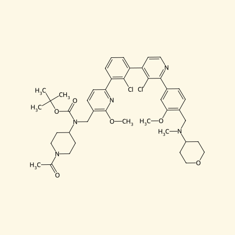 COc1cc(-c2nccc(-c3cccc(-c4ccc(CN(C(=O)OC(C)(C)C)C5CCN(C(C)=O)CC5)c(OC)n4)c3Cl)c2Cl)ccc1CN(C)C1CCOCC1